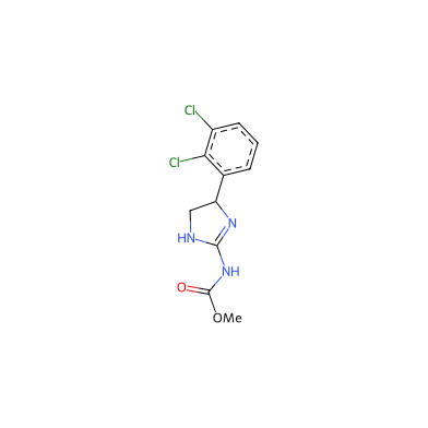 COC(=O)NC1=NC(c2cccc(Cl)c2Cl)CN1